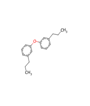 CCCc1cccc(Oc2cccc(CCC)c2)c1